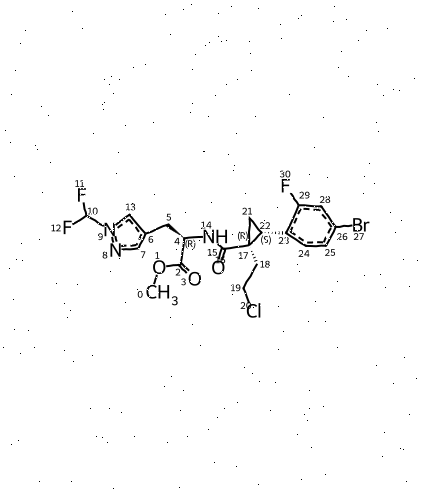 COC(=O)[C@@H](Cc1cnn(C(F)F)c1)NC(=O)[C@@]1(CCCl)C[C@@H]1c1ccc(Br)cc1F